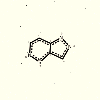 c1cc2nncc-2sn1